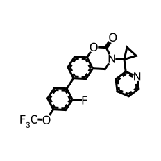 O=C1Oc2ccc(-c3ccc(OC(F)(F)F)cc3F)cc2CN1C1(c2ccccn2)CC1